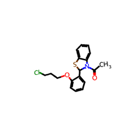 CC(=O)N1c2ccccc2SC1c1ccccc1OCCCCl